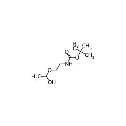 C[C](O)OCCNC(=O)OC(C)(C)C